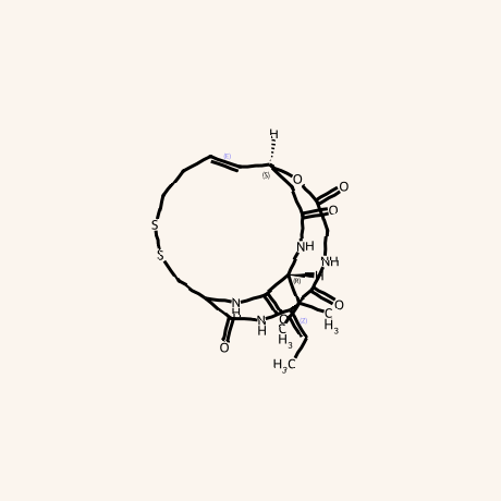 C/C=C1\NC(=O)C2CSSCC/C=C/[C@H](CC(=O)N[C@H](C(C)C)C(=O)N2)OC(=O)CNC1=O